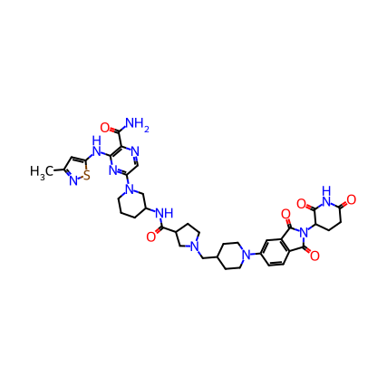 Cc1cc(Nc2nc(N3CCCC(NC(=O)C4CCN(CC5CCN(c6ccc7c(c6)C(=O)N(C6CCC(=O)NC6=O)C7=O)CC5)C4)C3)cnc2C(N)=O)sn1